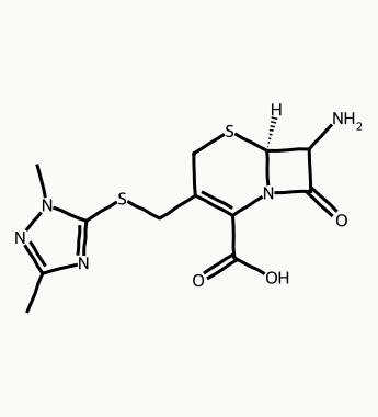 Cc1nc(SCC2=C(C(=O)O)N3C(=O)C(N)[C@@H]3SC2)n(C)n1